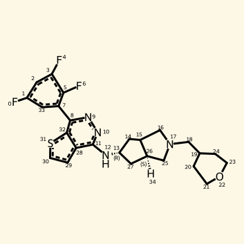 Fc1cc(F)c(F)c(-c2nnc(N[C@@H]3CC4CN(CC5CCOCC5)C[C@H]4C3)c3ccsc23)c1